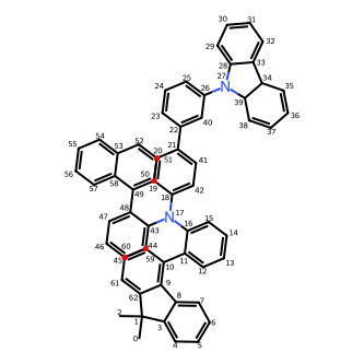 CC1(C)c2ccccc2-c2c(-c3ccccc3N(c3ccc(-c4cccc(N5c6ccccc6C6C=CC=CC65)c4)cc3)c3ccccc3-c3cccc4ccccc34)cccc21